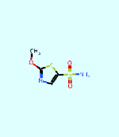 COc1ncc(S(N)(=O)=O)s1